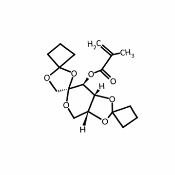 C=C(C)C(=O)O[C@H]1[C@@H]2OC3(CCC3)O[C@@H]2CO[C@]12COC1(CCC1)O2